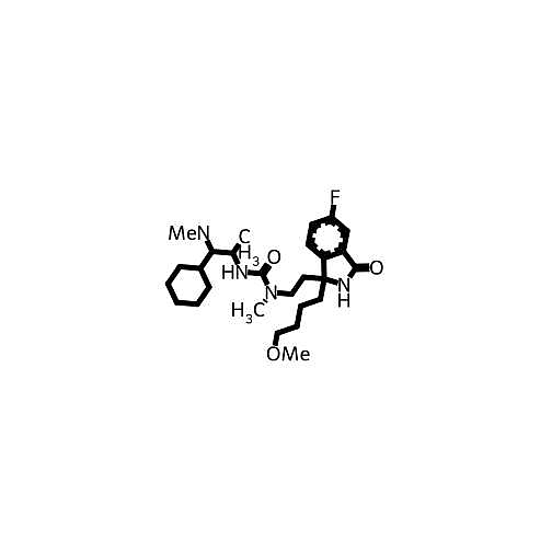 CNC(C1CCCCC1)C(C)NC(=O)N(C)CCC1(CCCCOC)NC(=O)c2cc(F)ccc21